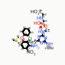 CCNc1nc(NC(C)(C)C)nc(SC)n1.C[S+](C)C.Nc1c([N+](=O)[O-])ccc(Oc2ccccc2)c1Cl.O=C(O)CNCP(=O)([O-])O